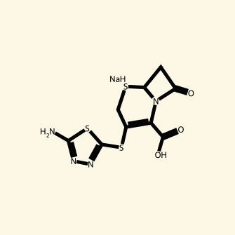 Nc1nnc(SC2=C(C(=O)O)N3C(=O)CC3SC2)s1.[NaH]